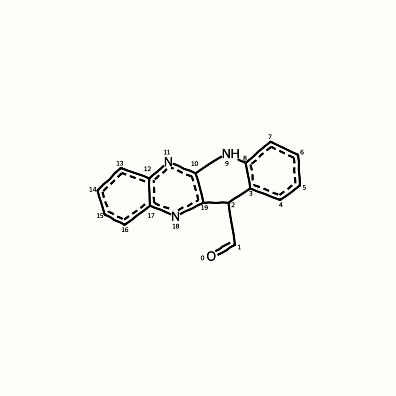 O=CC1c2ccccc2Nc2nc3ccccc3nc21